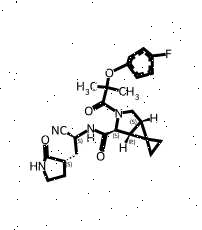 CC(C)(Oc1ccc(F)cc1)C(=O)N1C[C@H]2[C@@H]([C@H]1C(=O)N[C@H](C#N)C[C@@H]1CCNC1=O)C21CC1